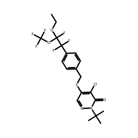 CCOC(F)(OC(F)(F)F)C(F)(F)c1ccc(CSc2cnn(C(C)(C)C)c(=O)c2Cl)cc1